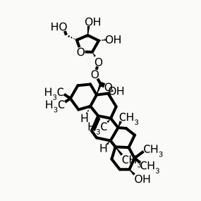 CC1(C)CC[C@]2(C(=O)OO[C@@H]3O[C@H](CO)[C@@H](O)[C@@H]3O)[C@H](O)C[C@]3(C)C(=CC[C@@H]4[C@@]5(C)CC[C@H](O)C(C)(C)C5CC[C@]43C)[C@H]2C1